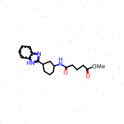 COC(=O)CCCC(=O)NC1CCCC(c2nc3ccccc3[nH]2)C1